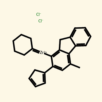 Cc1cc(C2=CC=CC2)[c]([Zr+2]=[C]2CCCCC2)c2c1-c1ccccc1C2.[Cl-].[Cl-]